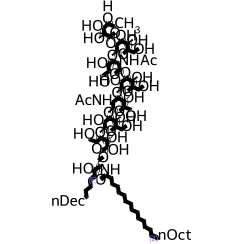 CCCCCCCC/C=C\CCCCCCCCCCCCCC(=O)N[C@@H](CO[C@@H]1OC(CO)[C@@H](O[C@@H]2OC(CO)[C@H](O)[C@H](O[C@@H]3OC(CO)[C@@H](O)[C@H](O[C@@H]4OC(CO)[C@H](O)[C@H](O[C@@H]5OC(CO)[C@@H](O)[C@H](O[C@@H]6OC(CO)[C@H](O)[C@H](O)C6O[C@H]6OC(C)[C@@H](O)C(O)[C@@H]6O)C5NC(C)=O)C4O)C3NC(C)=O)C2O)[C@H](O)C1O)[C@H](O)/C=C/CCCCCCCCCCCCC